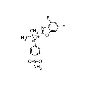 CC1(C)[C@H](c2ccc(S(N)(=O)=O)cc2)[C@H]1c1nc2c(F)cc(F)cc2o1